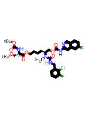 CN(C(=O)NCc1cccc(F)c1Cl)[C@@H](CCCCOC(=O)[C@H](COC(C)(C)C)NC(=O)OC(C)(C)C)COC(=O)Nc1cc2cc(F)ccc2cn1